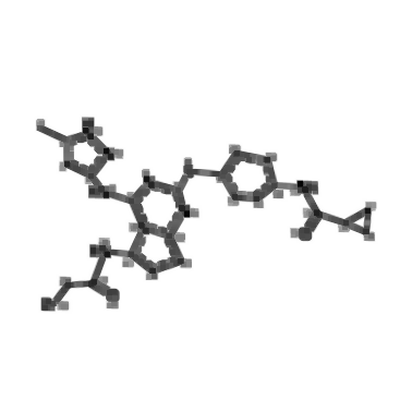 Cc1cc(Nc2nc(Sc3ccc(NC(=O)C4CC4)cc3)nc3ccc(NC(=O)CBr)n23)n[nH]1